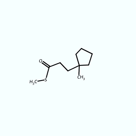 CSC(=O)CCC1(C)CCCC1